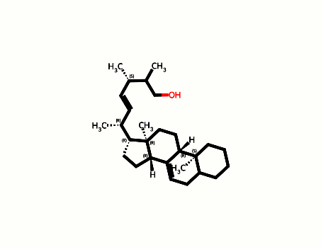 CC(CO)[C@@H](C)C=C[C@@H](C)[C@H]1CC[C@H]2C3=CCC4CCCC[C@]4(C)[C@H]3CC[C@]12C